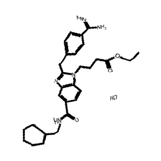 CCOC(=O)CCCn1c(Cc2ccc(C(=N)N)cc2)nc2cc(C(=O)NCC3CCCCC3)ccc21.Cl